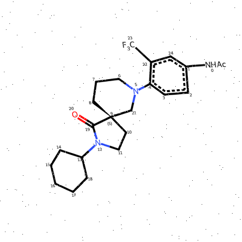 CC(=O)Nc1ccc(N2CCC[C@]3(CCN(C4CCCCC4)C3=O)C2)c(C(F)(F)F)c1